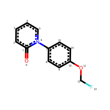 O=c1ccccn1-c1ccc(OCF)cc1